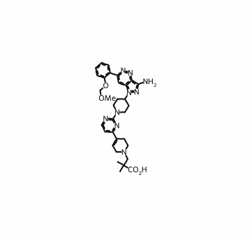 COCOc1ccccc1-c1cc2c(nn1)c(N)nn2C1CCN(c2nccc(C3=CCN(CC(C)(C)C(=O)O)CC3)n2)CC1